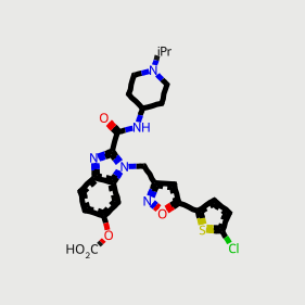 CC(C)N1CCC(NC(=O)c2nc3ccc(OC(=O)O)cc3n2Cc2cc(-c3ccc(Cl)s3)on2)CC1